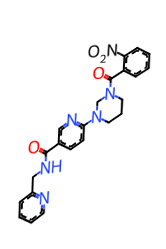 O=C(NCc1ccccn1)c1ccc(N2CCCN(C(=O)c3ccccc3[N+](=O)[O-])C2)nc1